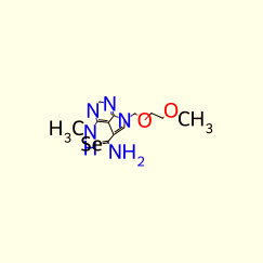 CNc1ncnc2c1c(C(N)=[Se])cn2COCCOC